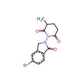 CC1CCC(=O)N(N2Cc3cc(Br)ccc3C2=O)C1=O